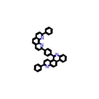 c1ccc(-c2ccc3c(ccc4c5ccccc5nc(-c5ccc(-c6ccc7ccc8ccc(-c9ccccc9)nc8c7n6)cc5)c34)n2)cc1